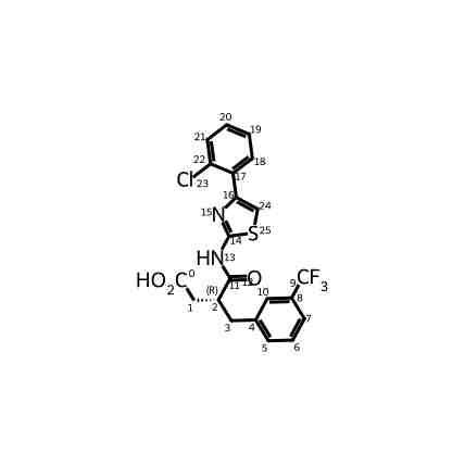 O=C(O)C[C@@H](Cc1cccc(C(F)(F)F)c1)C(=O)Nc1nc(-c2ccccc2Cl)cs1